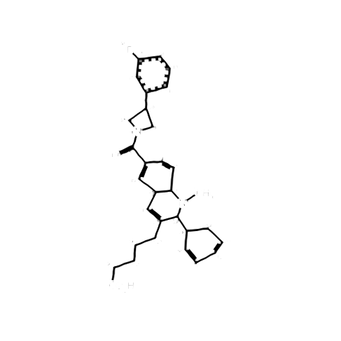 CN1C2C=CC(C(=O)N3CC(c4cccc(F)c4)C3)=CC2C=C(CCCCC(=O)O)C1C1C=CC=CC1